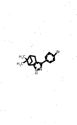 CC1(C)C2Cc3c(-c4ccc(Br)cc4)n[nH]c3C1C2